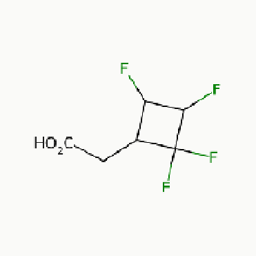 O=C(O)CC1C(F)C(F)C1(F)F